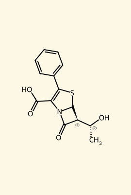 C[C@@H](O)[C@H]1C(=O)N2C(C(=O)O)=C(c3ccccc3)SC12